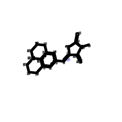 CN1C(=O)S/C(=C\c2cc3c4c(c2)CCCN4CCC3)C1=S